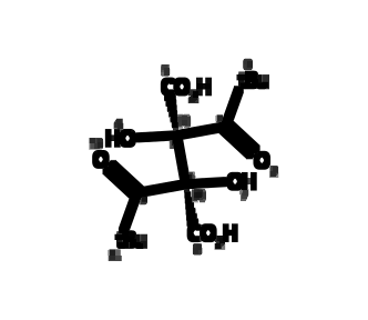 CC(C)(C)C(=O)[C@@](O)(C(=O)O)[C@](O)(C(=O)O)C(=O)C(C)(C)C